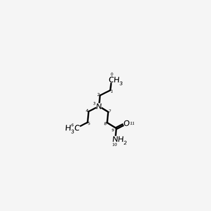 CCCN(CCC)CCC(N)=O